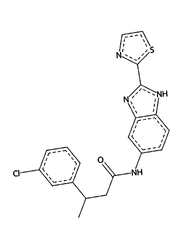 CC(CC(=O)Nc1ccc2[nH]c(-c3nccs3)nc2c1)c1cccc(Cl)c1